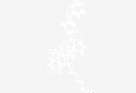 CCCCCCCCCCCCCCCCCC[Si](C)(O[Si](C)(CCc1ccc(Oc2ccccc2)cc1)c1ccccc1)c1ccccc1